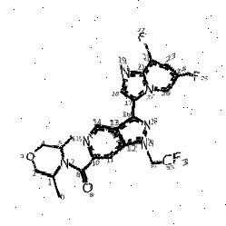 CC1COCC(C)N1C(=O)c1cc2c(cn1)c(-c1cnc3c(F)cc(F)cn13)nn2CC(F)(F)F